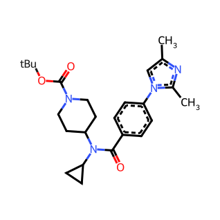 Cc1cn(-c2ccc(C(=O)N(C3CC3)C3CCN(C(=O)OC(C)(C)C)CC3)cc2)c(C)n1